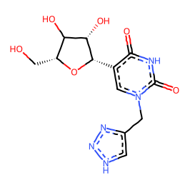 O=c1[nH]c(=O)n(Cc2c[nH]nn2)cc1[C@@H]1O[C@H](CO)C(O)[C@@H]1O